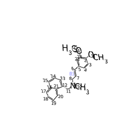 COc1ccc(/C=C/CN(C)Cc2cccc3ccccc23)cc1OC